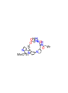 CCn1c(-c2cccnc2[C@H](C)OC)c2c3cc(ccc31)N1CCC=C(C[C@H](NC(=O)CC(C)C)C(=O)N3CCC[C@H](N3)C(=O)OCC(C)(C)C2)C1